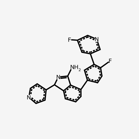 NC1=NC(c2ccncc2)c2cccc(-c3ccc(F)c(-c4cncc(F)c4)c3)c21